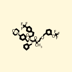 CN(CCOCc1cccc(OC(F)(F)F)c1)C(=O)[C@H](Cc1ccccc1)N(Cc1ccc(N2CCOCC2)cc1)C(=O)C=Cc1ccc(C(F)(F)F)cc1